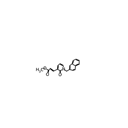 COC(=O)/C=C/c1cccn(Cc2ccc3ccccc3c2)c1=O